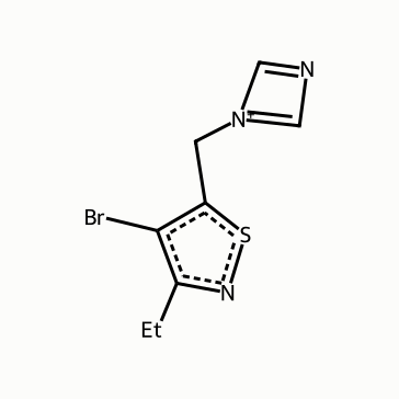 CCc1nsc(C[N+]2=CN=C2)c1Br